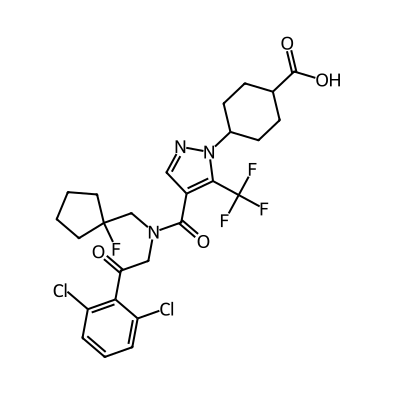 O=C(CN(CC1(F)CCCC1)C(=O)c1cnn(C2CCC(C(=O)O)CC2)c1C(F)(F)F)c1c(Cl)cccc1Cl